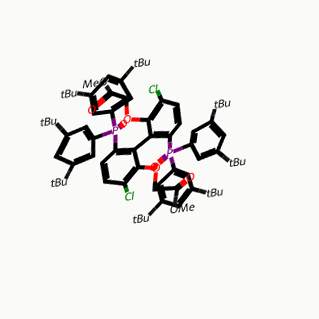 COC(=O)COc1c(Cl)ccc(P(=O)(c2cc(C(C)(C)C)cc(C(C)(C)C)c2)c2cc(C(C)(C)C)cc(C(C)(C)C)c2)c1-c1c(P(=O)(c2cc(C(C)(C)C)cc(C(C)(C)C)c2)c2cc(C(C)(C)C)cc(C(C)(C)C)c2)ccc(Cl)c1OCC(=O)OC